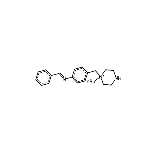 CCCC[N+]1(Cc2ccc(N=Cc3ccccc3)cc2)CCNCC1